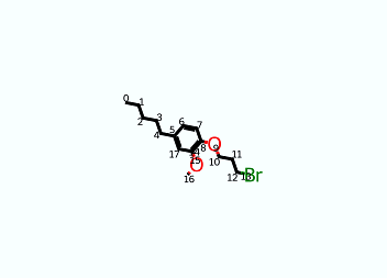 CCCCCc1ccc(OCCCBr)c(OC)c1